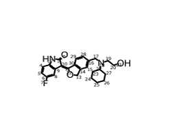 O=C1Nc2ccc(F)cc2C1=C1OCc2cc(CN(CCO)C3CCCCC3)ccc21